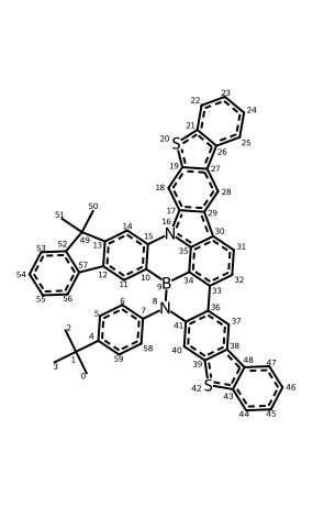 CC(C)(C)c1ccc(N2B3c4cc5c(cc4-n4c6cc7sc8ccccc8c7cc6c6ccc(c3c64)-c3cc4c(cc32)sc2ccccc24)C(C)(C)c2ccccc2-5)cc1